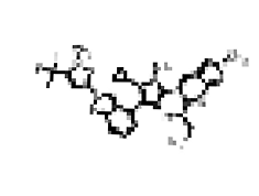 CCC(O)c1nc2nn(C)cc2cc1-c1nc(-c2cccc3nn(-c4cc(C(F)(F)F)n(C)n4)cc23)c(C2CC2)n1C